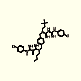 CCCCN(Cc1ccc(CN(CCC(C)(C)C)C(=N)NC(=N)Nc2ccc(Cl)cc2)cc1)C(=N)NC(=N)Nc1ccc(Cl)cc1